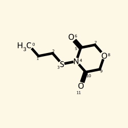 CCCSN1C(=O)COCC1=O